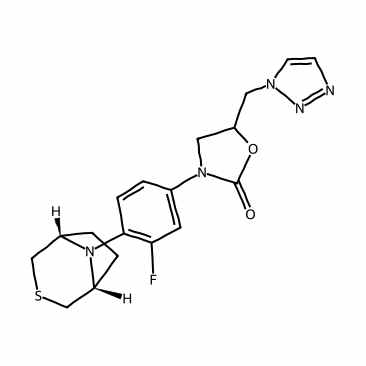 O=C1OC(Cn2ccnn2)CN1c1ccc(N2[C@@H]3CC[C@H]2CSC3)c(F)c1